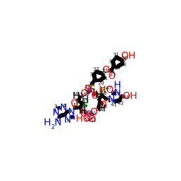 Nc1ncnc2c1ncn2[C@@H]1O[C@@H]2COP(=O)(SCc3ccc(OC(=O)c4ccc(O)cc4)cc3)O[C@H]3[C@@H](F)[C@H](N4C=CC(O)NC4O)O[C@@H]3COP(=O)(O)O[C@@H]1[C@@H]2F